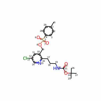 Cc1ccc(S(=O)(=O)OCc2cc(Cl)cnc2CCCNC(=O)OC(C)(C)C)cc1